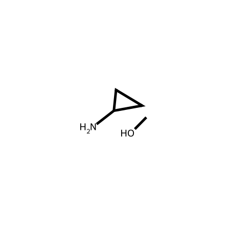 CO.NC1CC1